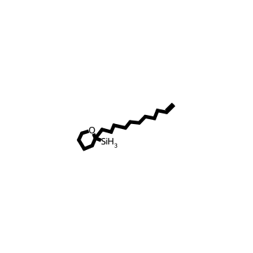 C=CCCCCCCCCCC1([SiH3])CCCCO1